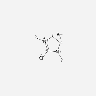 CN1CC[N+](C)=C1Cl.[Br-]